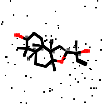 C=C[C@](C)(O)[C@H]1C[C@@H]2[C@@]3(C)CC[C@H](O)C(C)(C)[C@@H]3CC[C@@]2(C)O1